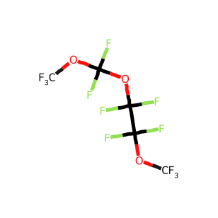 FC(F)(F)OC(F)(F)OC(F)(F)C(F)(F)OC(F)(F)F